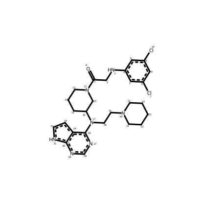 O=C(CNc1cc(Cl)cc(Cl)c1)N1CCCC(N(CCN2CCCCC2)c2ncnc3[nH]ccc23)C1